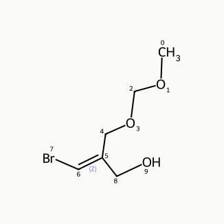 COCOC/C(=C\Br)CO